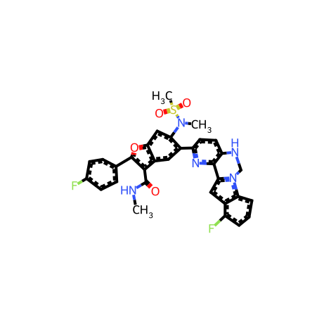 CNC(=O)c1c(-c2ccc(F)cc2)oc2cc(N(C)S(C)(=O)=O)c(-c3ccc4c(n3)-c3cc5c(F)cccc5n3CN4)cc12